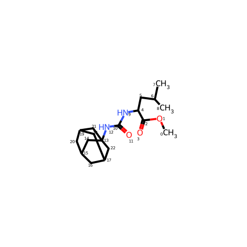 COC(=O)C(CC(C)C)NC(=O)NC12CC3CC(CC(C3)C1)C2